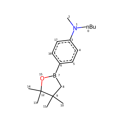 CCCCN(C)c1ccc(B2CC(C)(C)C(C)(C)O2)cc1